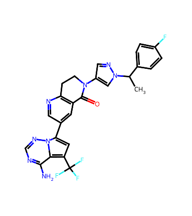 CC(c1ccc(F)cc1)n1cc(N2CCc3ncc(-c4cc(C(F)(F)F)c5c(N)ncnn45)cc3C2=O)cn1